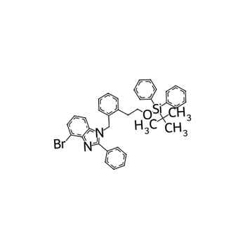 CC(C)(C)[Si](OCCc1ccccc1Cn1c(-c2ccccc2)nc2c(Br)cccc21)(c1ccccc1)c1ccccc1